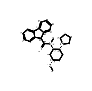 CO[C@H]1CC[C@@H](N2CCCC2)[C@H](N(C)C(=O)C2c3ccccc3-c3ccccc32)C1